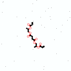 C=CC(=O)OC(C)COC(=O)CCC(=O)OCC(C)OC(=O)C=C